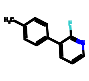 Cc1ccc(-c2cccnc2F)cc1